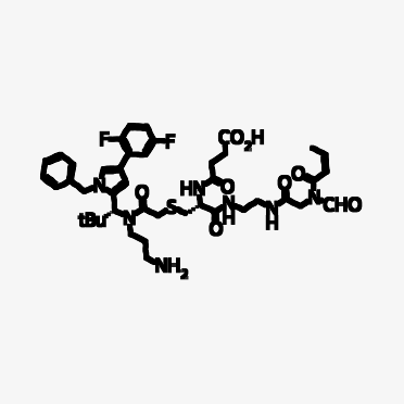 C/C=C\C(=O)N(C=O)CC(=O)NCCNC(=O)[C@H](CSCC(=O)N(CCCN)[C@@H](c1cc(-c2cc(F)ccc2F)cn1Cc1ccccc1)C(C)(C)C)NC(=O)CCC(=O)O